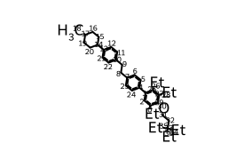 CCc1cc(-c2ccc(CCc3ccc(C4CCC(C)CC4)cc3)cc2)c(CC)c(CC)c1OCCC(CC)(CC)CC